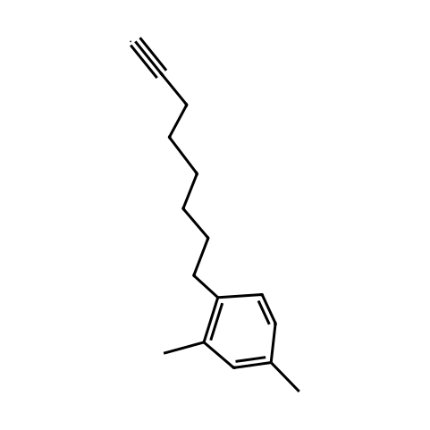 [C]#CCCCCCCc1ccc(C)cc1C